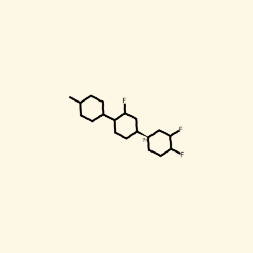 CC1CCC(C2CCC([C@@H]3CCC(F)C(F)C3)CC2F)CC1